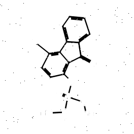 CCCOP(=O)(Oc1ccc(I)c2c1C(=O)c1ccccc1-2)SCCC